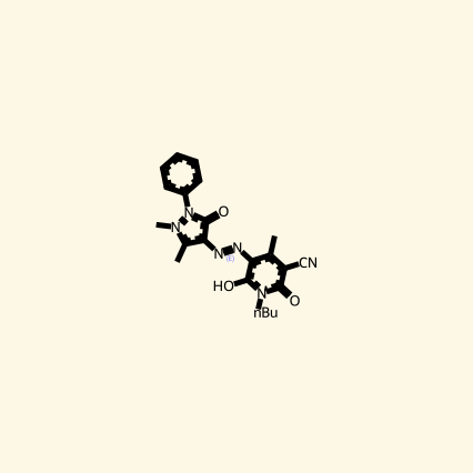 CCCCn1c(O)c(/N=N/c2c(C)n(C)n(-c3ccccc3)c2=O)c(C)c(C#N)c1=O